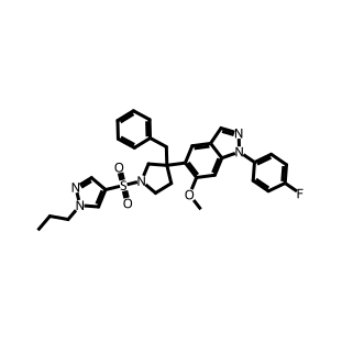 CCCn1cc(S(=O)(=O)N2CCC(Cc3ccccc3)(c3cc4cnn(-c5ccc(F)cc5)c4cc3OC)C2)cn1